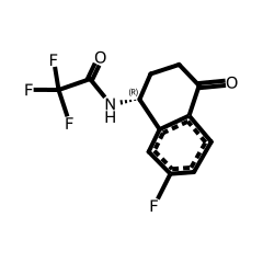 O=C1CC[C@@H](NC(=O)C(F)(F)F)c2cc(F)ccc21